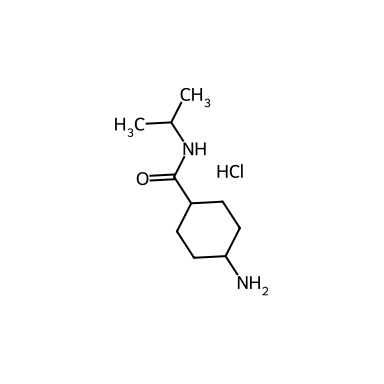 CC(C)NC(=O)C1CCC(N)CC1.Cl